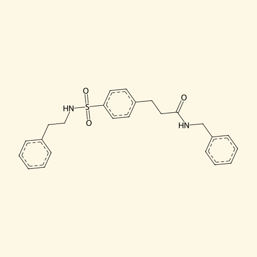 O=C(CCc1ccc(S(=O)(=O)NCCc2ccccc2)cc1)NCc1ccccc1